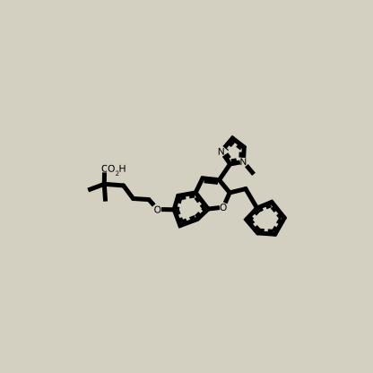 Cn1ccnc1C1=Cc2cc(OCCCC(C)(C)C(=O)O)ccc2OC1Cc1ccccc1